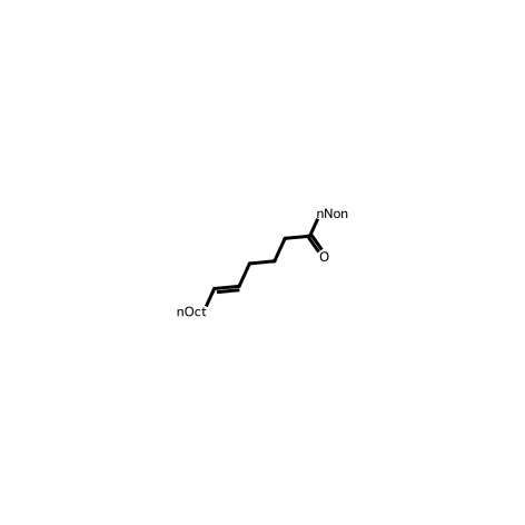 CCCCCCCCC=CCCCC(=O)CCCCCCCCC